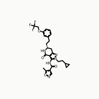 Cc1oncc1C(=O)Nc1c2c(nn1CCC1CC1)C[C@H](CCc1cccc(OCC(F)(F)F)c1)NC2=O